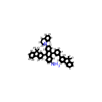 CC1(C)c2ccccc2-c2ccc(-c3cccc(-c4c5ccc(N6CCCc7ccccc76)cc5c(-c5ccc6c(c5)C(C)(C)c5ccccc5-6)c5ccc(N)cc45)c3)cc21